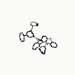 C1=CC(c2cc(-c3ccccc3)cc(-n3c4ccccc4c4c5c(ccc43)Sc3ccccc3N5c3ccccc3)c2)=CCC1